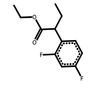 CCOC(=O)C(CC)c1ccc(F)cc1F